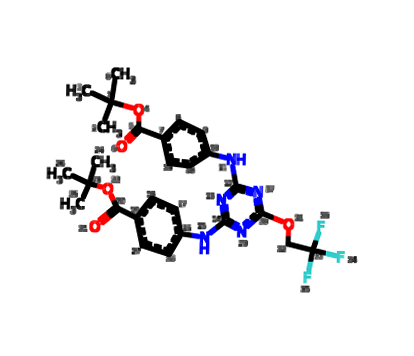 CC(C)(C)OC(=O)c1ccc(Nc2nc(Nc3ccc(C(=O)OC(C)(C)C)cc3)nc(OCC(F)(F)F)n2)cc1